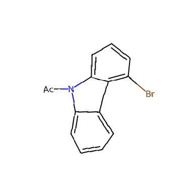 CC(=O)n1c2ccccc2c2c(Br)cccc21